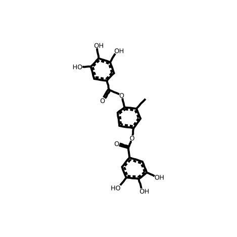 Cc1cc(OC(=O)c2cc(O)c(O)c(O)c2)ccc1OC(=O)c1cc(O)c(O)c(O)c1